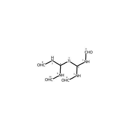 O=CN[CH](NC=O)[Ti][CH](NC=O)NC=O